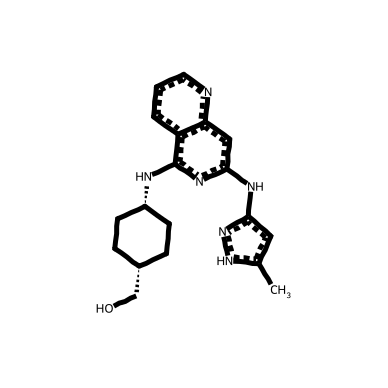 Cc1cc(Nc2cc3ncccc3c(N[C@H]3CC[C@@H](CO)CC3)n2)n[nH]1